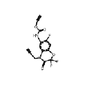 C#CCN1C(=O)C(F)(F)Oc2cc(F)c(NC(=O)OC#C)cc21